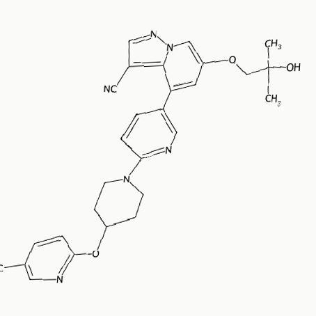 CC(C)(O)COc1cc(-c2ccc(N3CCC(Oc4ccc(C(F)(F)F)cn4)CC3)nc2)c2c(C#N)cnn2c1